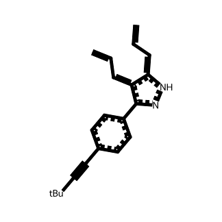 C=C/C=c1/c(-c2ccc(C#CC(C)(C)C)cc2)n[nH]/c1=C/C=C